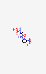 COc1ccc(NC(=O)C(C)(C)NC(=O)O)nc1[N+](=O)[O-]